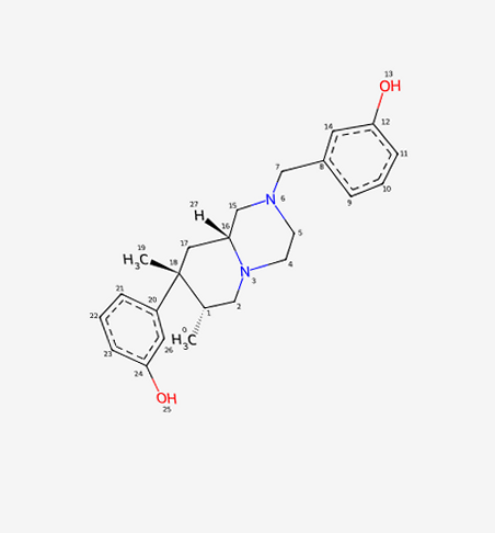 C[C@H]1CN2CCN(Cc3cccc(O)c3)C[C@H]2C[C@@]1(C)c1cccc(O)c1